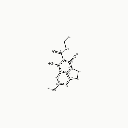 CCOC(=O)c1c(O)c2cc(SC)cc3c2n(c1=O)CC3